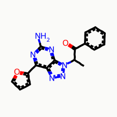 CC(C(=O)c1ccccc1)n1nnc2c(-c3ccco3)nc(N)nc21